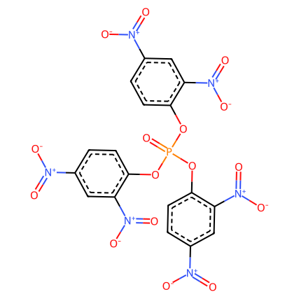 O=[N+]([O-])c1ccc(OP(=O)(Oc2ccc([N+](=O)[O-])cc2[N+](=O)[O-])Oc2ccc([N+](=O)[O-])cc2[N+](=O)[O-])c([N+](=O)[O-])c1